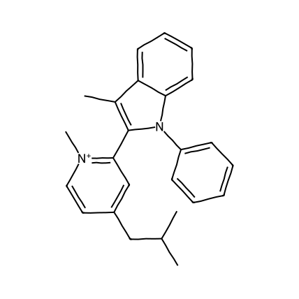 Cc1c(-c2cc(CC(C)C)cc[n+]2C)n(-c2ccccc2)c2ccccc12